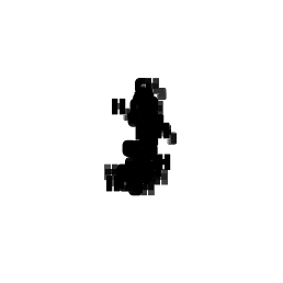 C[C@@H]1CC[C@@]2(OC1)O[C@H]1C[C@H]3[C@@H]4CCC5CC(O[C@H]6O[C@H](CO)[C@H](O[C@H]7O[C@H](CO)[C@@H](O)[C@H](O)[C@H]7O)[C@H](O)[C@H]6O)CC[C@]5(C)[C@H]4CC(=O)[C@]3(C)[C@H]1[C@@H]2C